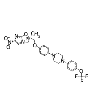 C[C@]1(COc2ccc(N3CCN(c4ccc(OC(F)(F)F)cc4)CC3)cc2)Cn2cc([N+](=O)[O-])nc2O1